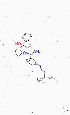 CC(C)=CCCN1CC2CC2(C(N)NC(=O)C(O)(c2ccccc2)C2CCCC2)C1